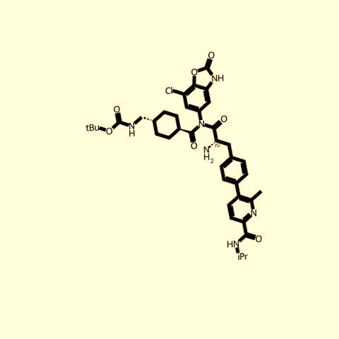 Cc1nc(C(=O)NC(C)C)ccc1-c1ccc(C[C@H](N)C(=O)N(c2cc(Cl)c3oc(=O)[nH]c3c2)C(=O)[C@H]2CC[C@H](CNC(=O)OC(C)(C)C)CC2)cc1